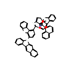 CC1C/C=C(c2cccc3c2oc2ccccc23)/N=C(c2ccc(-n3c4ccccc4c4cc5ccccc5cc43)c3oc4ccccc4c23)\N=C/1c1cccc2ccccc12